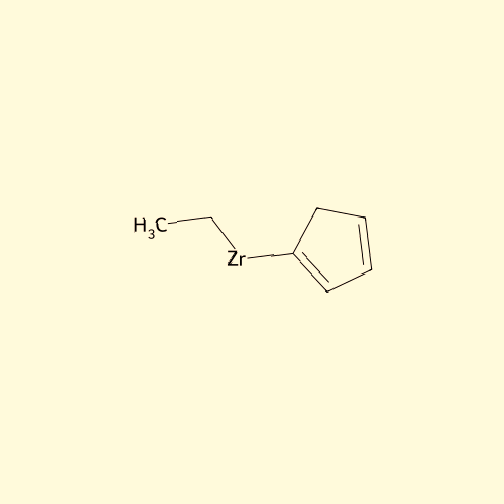 C[CH2][Zr][C]1=CC=CC1